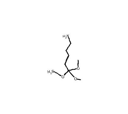 COC(CCCCN)(OC)O[SiH3]